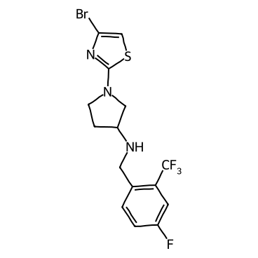 Fc1ccc(CNC2CCN(c3nc(Br)cs3)C2)c(C(F)(F)F)c1